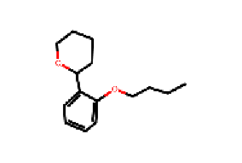 CCCCOc1ccccc1[C]1CCCCO1